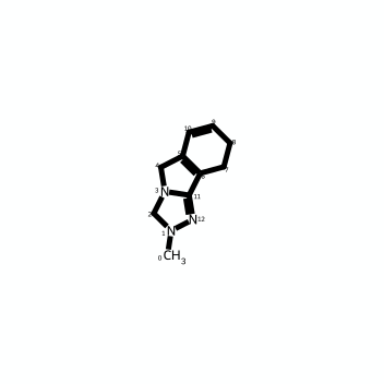 CN1CN2CC3=C(CCC=C3)C2=N1